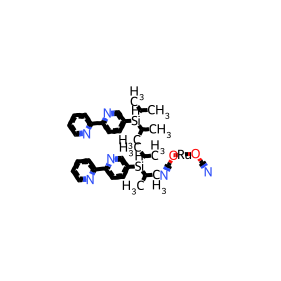 CC(C)[SiH](c1ccc(-c2ccccn2)nc1)C(C)C.CC(C)[SiH](c1ccc(-c2ccccn2)nc1)C(C)C.N#C[O][Ru][O]C#N